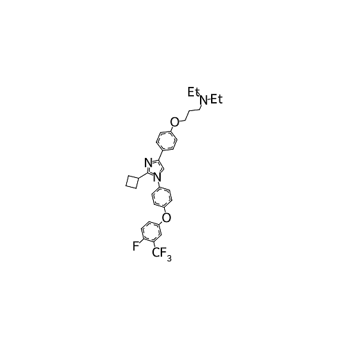 CCN(CC)CCCOc1ccc(-c2cn(-c3ccc(Oc4ccc(F)c(C(F)(F)F)c4)cc3)c(C3CCC3)n2)cc1